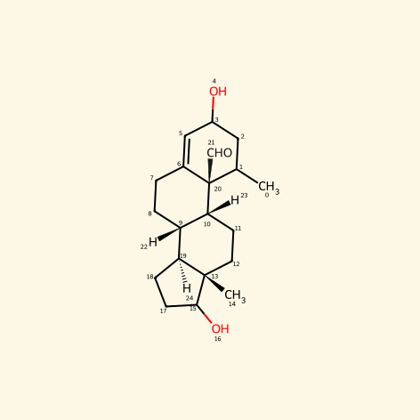 CC1CC(O)C=C2CC[C@@H]3[C@@H](CC[C@]4(C)C(O)CC[C@@H]34)[C@]21C=O